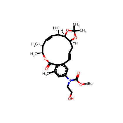 Cc1cc(N(CCO)C(=O)OC(C)(C)C)cc2c1C(=O)O[C@@H](C)[C@H](C)/C=C\[C@@H](C)[C@H]1OC(C)(C)O[C@H]1C/C=C/2